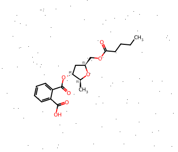 CCCCC(=O)OC[C@@H]1C[C@@H](OC(=O)c2ccccc2C(=O)O)[C@H](C)O1